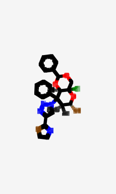 CO[C@@]1(C(C)=O)[C@@H](S)O[C@@]2(Cl)COC(c3ccccc3)O[C@@H]2C1(c1ccccc1)n1cc(-c2nccs2)nn1